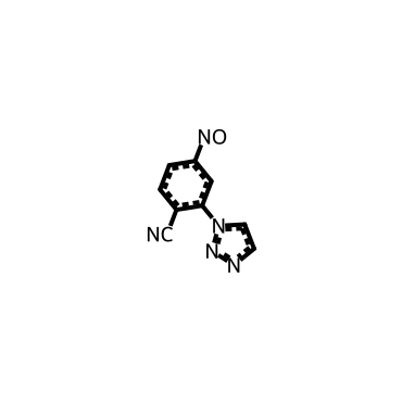 N#Cc1ccc(N=O)cc1-n1ccnn1